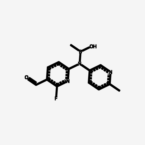 CB(O)N(c1ccc(C)nc1)c1ccc(C=O)c(F)n1